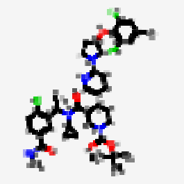 CNC(=O)c1ccc(Cl)c(C(C)N(C(=O)[C@@H]2CN(C(=O)OC(C)(C)C)CC[C@H]2c2ccc(N3CC[C@@H](Oc4c(Cl)cc(C)cc4Cl)C3)nc2)C2CC2)c1